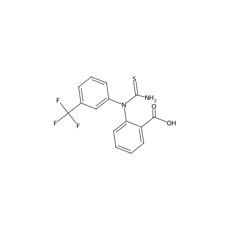 NC(=S)N(c1cccc(C(F)(F)F)c1)c1ccccc1C(=O)O